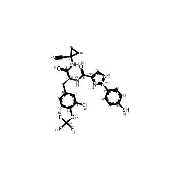 N#CC1(NC(=O)[C@H](Cc2ccc(OC(F)(F)F)c(Cl)c2)NC(=O)c2cnn(-c3ccc(S)cc3)n2)CC1